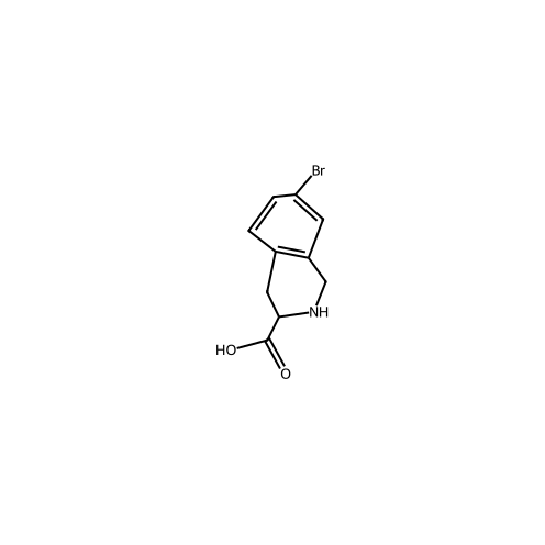 O=C(O)C1Cc2ccc(Br)cc2CN1